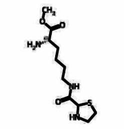 COC(=O)[C@@H](N)CCCCNC(=O)C1NCCS1